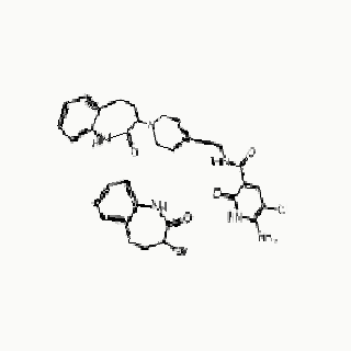 Nc1[nH]c(=O)c(C(=O)NCC2CCN(C3CCc4ccccc4NC3=O)CC2)cc1Cl.O=C1Nc2ccccc2CCC1Br